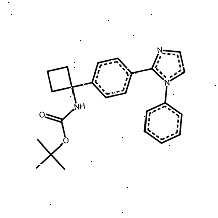 CC(C)(C)OC(=O)NC1(c2ccc(-c3nccn3-c3ccccc3)cc2)CCC1